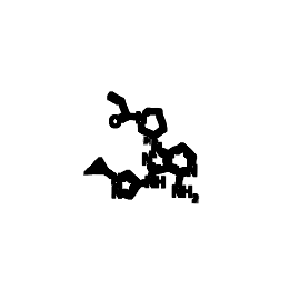 C=CC(=O)N1CCC[C@@H](n2nc(Nc3cnn(C4CC4)c3)c3c(N)nccc32)C1